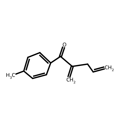 C=CCC(=C)C(=O)c1ccc(C)cc1